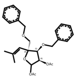 CC(=O)OC1O[C@](C=C(C)C)(COCc2ccccc2)[C@@H](OCc2ccccc2)[C@H]1OC(C)=O